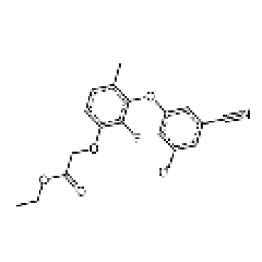 CCOC(=O)COc1ccc(C)c(Oc2cc(Cl)cc(C#N)c2)c1F